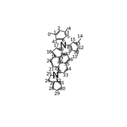 Cc1cc(C)cc(N(c2cc(C)cc(C)c2)c2ccc3ccc4c(N5CCc6ccccc65)ccc5ccc2c3c54)c1